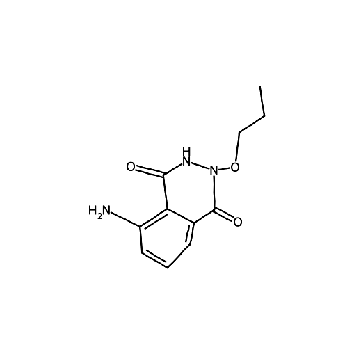 CCCOn1[nH]c(=O)c2c(N)cccc2c1=O